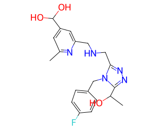 Cc1cc(C(O)O)cc(CNCc2nnc(C(C)O)n2Cc2ccc(F)cc2)n1